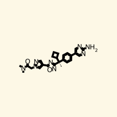 CN(C)C(=O)Cn1cc(-c2nc([C@](C)(c3ccc(-c4cnc(N)nc4)cc3)C3CCC3)no2)cn1